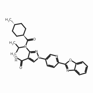 CC(C)N(c1nn(-c2ccc(-c3nc4ccccc4o3)nc2)cc1C(=O)O)C(=O)[C@H]1CC[C@H](C)CC1